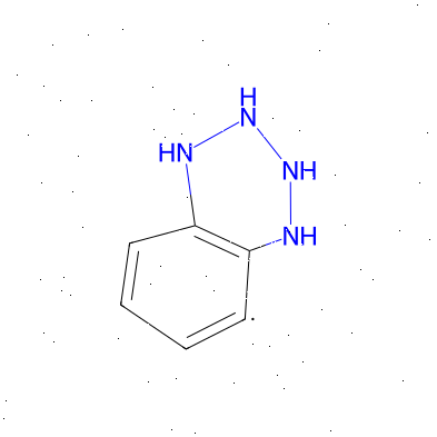 [c]1cccc2[nH][nH][nH][nH]c12